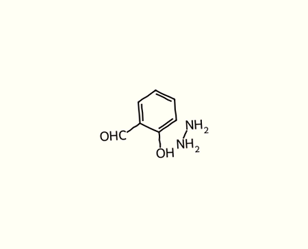 NN.O=Cc1ccccc1O